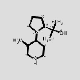 CC1CNCCC1N1CCC[C@H]1C(C)(C)O